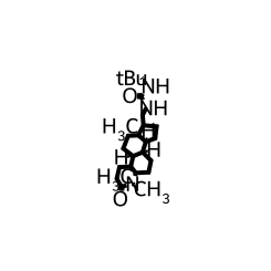 CN1C(=O)CC[C@@]2(C)C1CC[C@@H]1[C@H]2CC[C@]2(C)C(CNC(=O)NC(C)(C)C)CC[C@@H]12